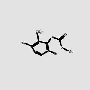 CC(C)(C)OC(=O)Oc1c(Br)ccc(O)c1C(=O)O